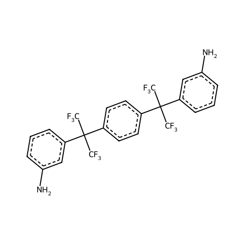 Nc1cccc(C(c2ccc(C(c3cccc(N)c3)(C(F)(F)F)C(F)(F)F)cc2)(C(F)(F)F)C(F)(F)F)c1